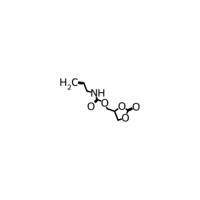 C=CCNC(=O)OCC1COC(=O)O1